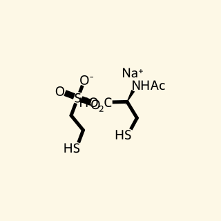 CC(=O)N[C@@H](CS)C(=O)O.O=S(=O)([O-])CCS.[Na+]